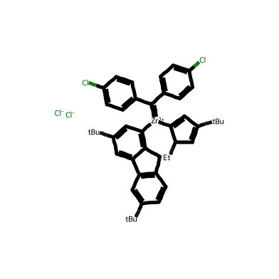 CCC1C=C(C(C)(C)C)C=[C]1[Zr+2](=[C](c1ccc(Cl)cc1)c1ccc(Cl)cc1)[c]1cc(C(C)(C)C)cc2c1Cc1ccc(C(C)(C)C)cc1-2.[Cl-].[Cl-]